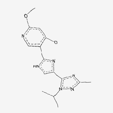 COc1cc(Cl)c(-c2nc(-c3nc(C)nn3C(C)C)c[nH]2)cn1